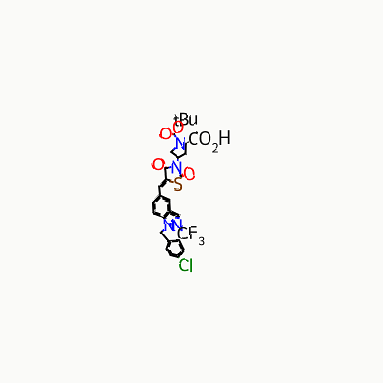 CC(C)(C)OC(=O)N1C[C@H](N2C(=O)SC(=Cc3ccc4c(cnn4Cc4ccc(Cl)cc4C(F)(F)F)c3)C2=O)C[C@H]1C(=O)O